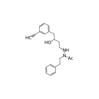 C#Cc1cccc(CC(O)CCNN(CCc2ccccc2)C(C)=O)c1